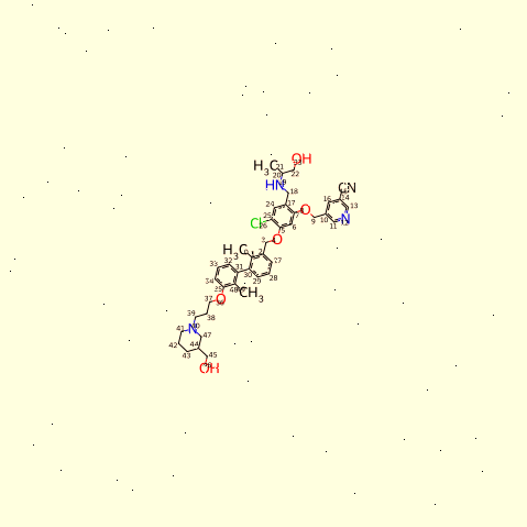 Cc1c(COc2cc(OCc3cncc(C#N)c3)c(CNC(C)CO)cc2Cl)cccc1-c1cccc(OCCCN2CCCC(CO)C2)c1C